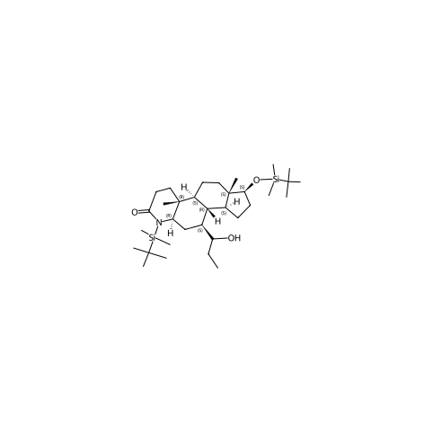 CCC(O)[C@H]1C[C@H]2N([Si](C)(C)C(C)(C)C)C(=O)CC[C@]2(C)[C@H]2CC[C@]3(C)[C@@H](O[Si](C)(C)C(C)(C)C)CC[C@H]3[C@H]12